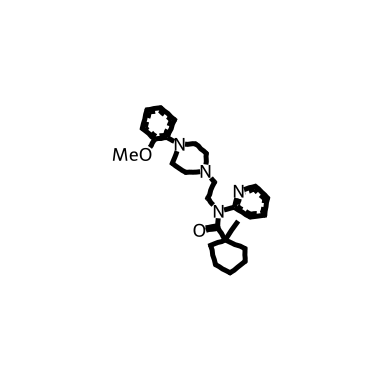 COc1ccccc1N1CCN(CCN(C(=O)C2(C)CCCCC2)c2ccccn2)CC1